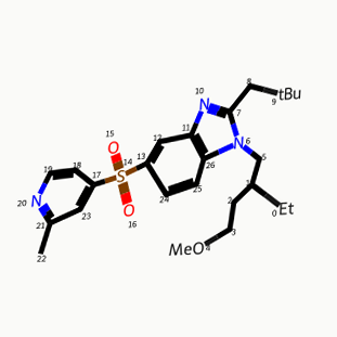 CCC(CCOC)Cn1c(CC(C)(C)C)nc2cc(S(=O)(=O)c3ccnc(C)c3)ccc21